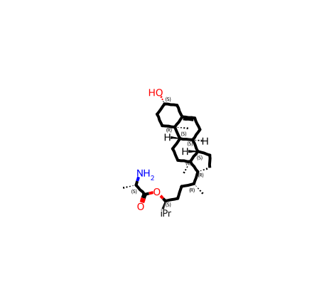 CC(C)[C@H](CC[C@@H](C)[C@H]1CC[C@H]2[C@@H]3CC=C4C[C@@H](O)CC[C@]4(C)[C@H]3CC[C@]12C)OC(=O)[C@H](C)N